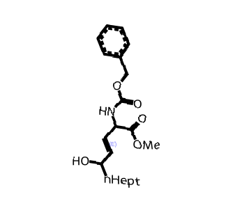 CCCCCCCC(O)/C=C/C(NC(=O)OCc1ccccc1)C(=O)OC